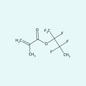 C=C(C)C(=O)OC(F)(C(C)(F)F)C(F)(F)F